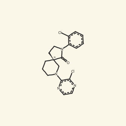 O=C1N(c2ccccc2Cl)CC[C@@]12CCCN(c1nccnc1Cl)C2